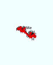 CN[C@@H](C)C(=O)N[C@H]1CN(C(=O)CCCCCCCCC(=O)N2CC[C@H]3CC[C@@H](C(=O)NC(c4ccccc4)c4ccccc4)N3C(=O)[C@@H](NC(=O)[C@H](C)N(C)Cl)C2)CC[C@H]2CC[C@@H](C(=O)NC(c3ccccc3)c3ccccc3)N2C1=O